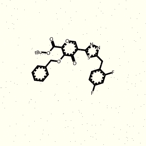 CC(C)(C)OC(=O)c1occ(-c2nnc(Cc3ccc(F)cc3F)s2)c(=O)c1OCc1ccccc1